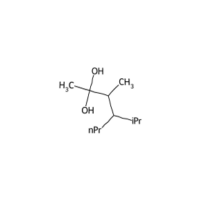 CCCC(C(C)C)C(C)C(C)(O)O